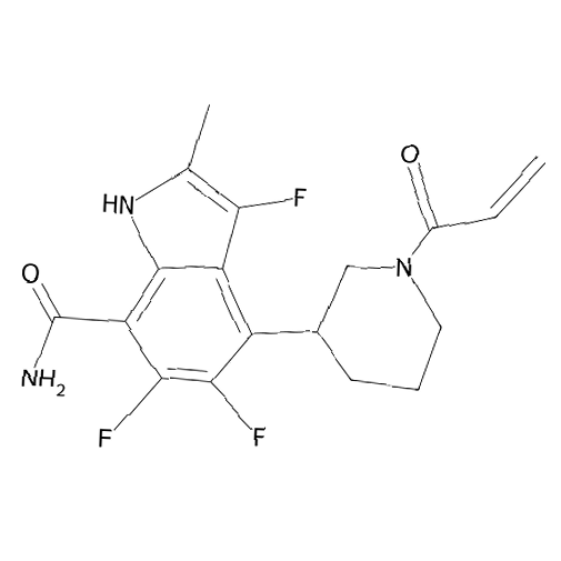 C=CC(=O)N1CCCC(c2c(F)c(F)c(C(N)=O)c3[nH]c(C)c(F)c23)C1